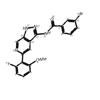 COc1cccc(F)c1-c1cc2c(NC(=O)c3cccc(Br)c3)n[nH]c2cn1